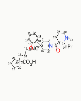 CCCC1C(C(=O)N2CCC(C#N)(c3ccccc3OCCCC3(C(=O)O)CCCC3)CC2)CCCN1C